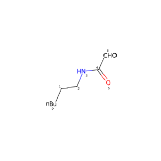 CCCCCCNC(=O)C=O